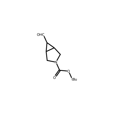 CC(C)(C)OC(=O)N1CC2C(C=O)C2C1